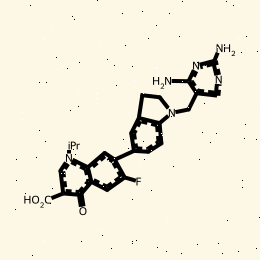 CC(C)n1cc(C(=O)O)c(=O)c2cc(F)c(-c3ccc4c(c3)CCN4Cc3cnc(N)nc3N)cc21